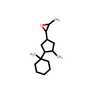 CC1CC(C2OC2C)CC1C1(C)CCCCC1